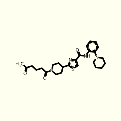 CC(=O)CCCC(=O)N1CCC(c2nc(C(=O)Nc3ccccc3N3CCCCC3)cs2)CC1